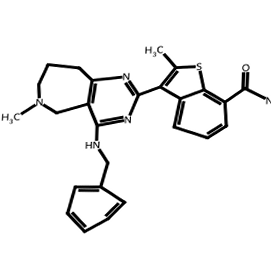 Cc1sc2c(C(N)=O)cccc2c1-c1nc2c(c(NCc3ccccc3)n1)CN(C)CCC2